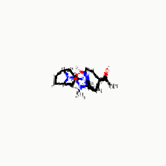 CCCC(=O)C1CCN(C2CC3CCC(C2)N3C2ON=C(C)N2C)CC1